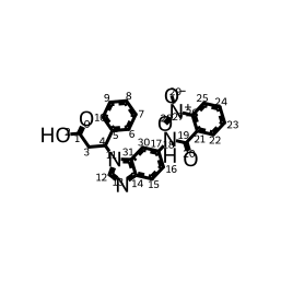 O=C(O)CC(c1ccccc1)n1cnc2ccc(NC(=O)c3ccccc3[N+](=O)[O-])cc21